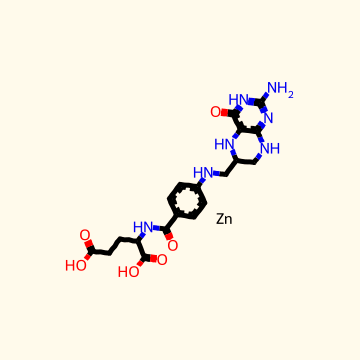 Nc1nc2c(c(=O)[nH]1)NC(CNc1ccc(C(=O)NC(CCC(=O)O)C(=O)O)cc1)CN2.[Zn]